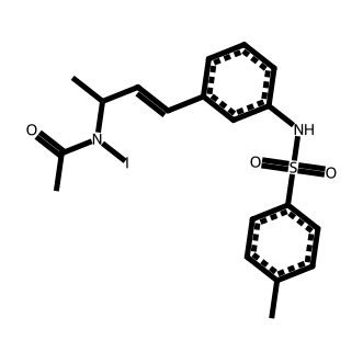 CC(=O)N(I)C(C)/C=C/c1cccc(NS(=O)(=O)c2ccc(C)cc2)c1